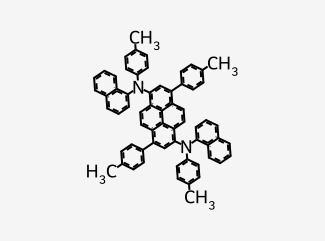 Cc1ccc(-c2cc(N(c3ccc(C)cc3)c3cccc4ccccc34)c3ccc4c(-c5ccc(C)cc5)cc(N(c5ccc(C)cc5)c5cccc6ccccc56)c5ccc2c3c45)cc1